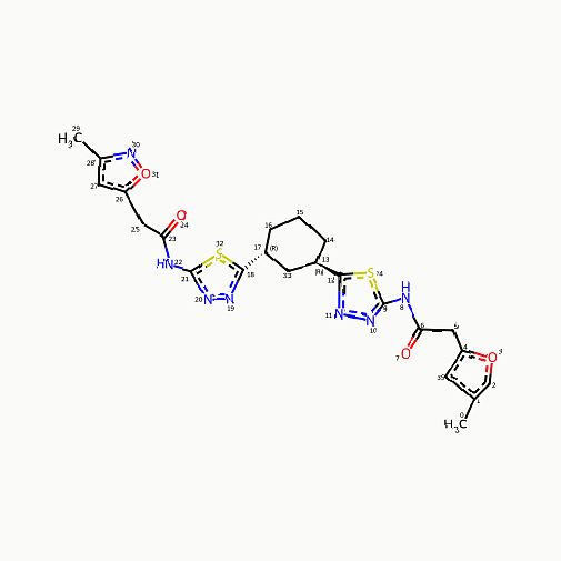 Cc1coc(CC(=O)Nc2nnc([C@@H]3CCC[C@@H](c4nnc(NC(=O)Cc5cc(C)no5)s4)C3)s2)c1